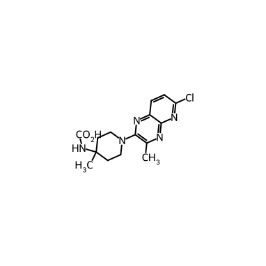 Cc1nc2nc(Cl)ccc2nc1N1CCC(C)(NC(=O)O)CC1